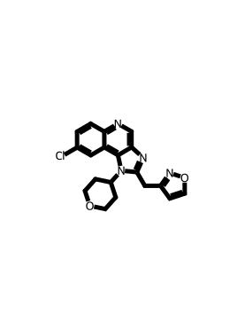 Clc1ccc2ncc3nc(Cc4ccon4)n(C4CCOCC4)c3c2c1